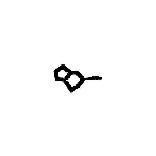 CNc1ccn2ccnc2c1